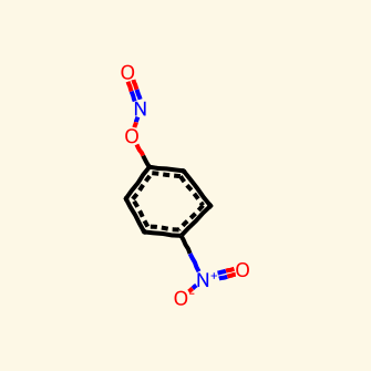 O=NOc1ccc([N+](=O)[O-])cc1